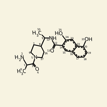 CC(N)C(=O)N1CCC(C(C)NC(=O)c2cc3cccc(O)c3cc2O)CC1